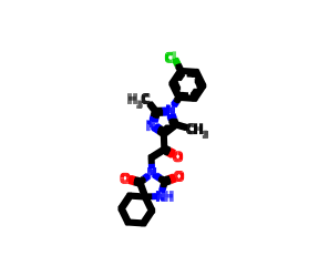 Cc1nc(C(=O)CN2C(=O)NC3(CCCCC3)C2=O)c(C)n1-c1cccc(Cl)c1